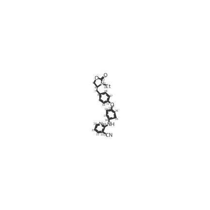 CCN1C(=O)OC[C@@H]1Cc1ccc(Oc2ccc(Nc3ncccc3C#N)cc2)cc1